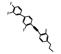 CCCc1ccc(C#Cc2ccc(-c3ccc(F)c(F)c3)cc2F)c(C)c1